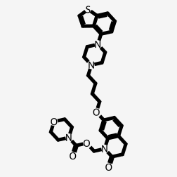 O=C(OCN1C(=O)CCc2ccc(OCCCCN3CCN(c4cccc5sccc45)CC3)cc21)N1CCOCC1